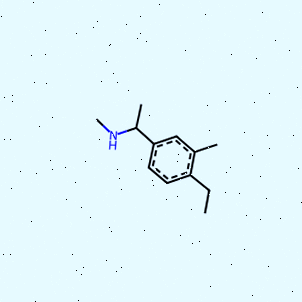 CCc1ccc(C(C)NC)cc1C